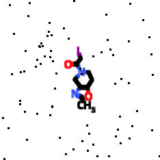 Cc1nc2c(o1)CCN(C(=O)CI)C2